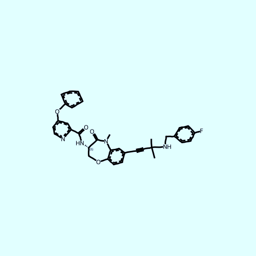 CN1C(=O)[C@@H](NC(=O)c2cc(Oc3ccccc3)ccn2)COc2ccc(C#CC(C)(C)NCc3ccc(F)cc3)cc21